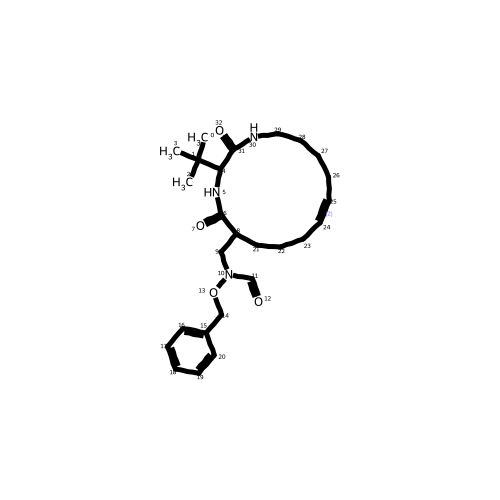 CC(C)(C)C1NC(=O)C(CN(C=O)OCc2ccccc2)CCC/C=C\CCCCNC1=O